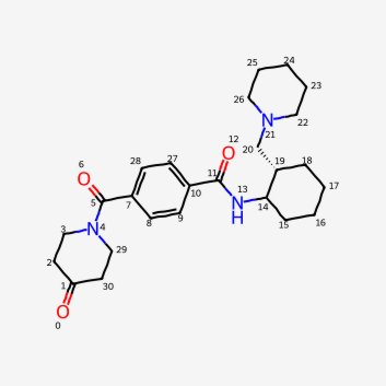 O=C1CCN(C(=O)c2ccc(C(=O)NC3CCCC[C@H]3CN3CCCCC3)cc2)CC1